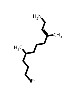 CC(=CCN)CCCC(C)CCCC(C)C